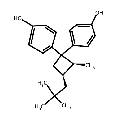 C[C@H]1[C@@H](CC(C)(C)C)CC1(c1ccc(O)cc1)c1ccc(O)cc1